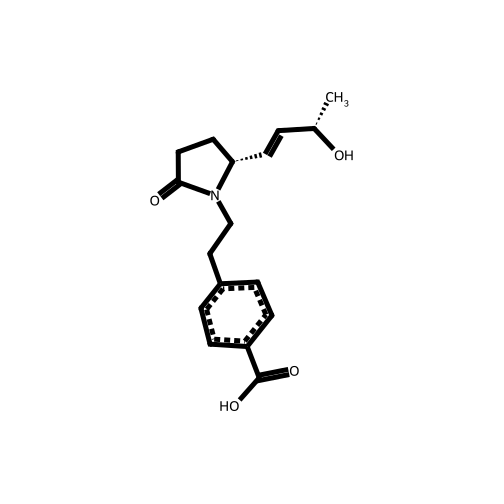 C[C@H](O)/C=C/[C@H]1CCC(=O)N1CCc1ccc(C(=O)O)cc1